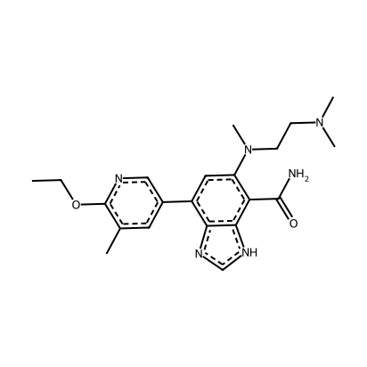 CCOc1ncc(-c2cc(N(C)CCN(C)C)c(C(N)=O)c3[nH]cnc23)cc1C